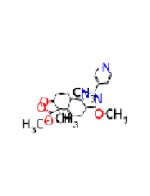 COC(=O)[C@@]1(C)C(=O)C=C[C@@]2(C)c3nc(-c4ccncc4)nc(OC)c3CC[C@H]12